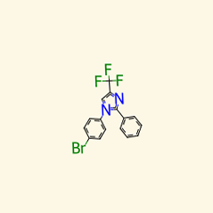 FC(F)(F)c1cn(-c2ccc(Br)cc2)c(-c2ccccc2)n1